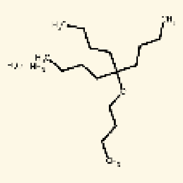 CCCCOC(CCCC)(CCCC)CCCC.N.O